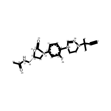 C#CC(C)(C)N1CCN(c2ccc(N3C[C@H](CNC(C)=O)OC3=O)cc2F)C=N1